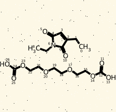 CCC1=CC(=O)N(CC)C1=O.O=C(O)OCCOCCOCCOC(=O)O